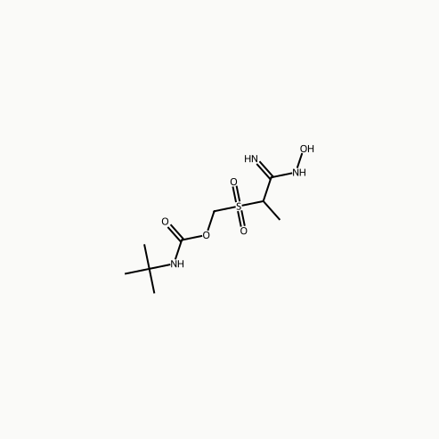 CC(C(=N)NO)S(=O)(=O)COC(=O)NC(C)(C)C